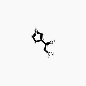 N#CCC(=O)C1=CN=CC1